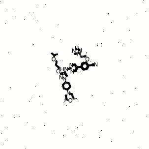 CC(C)OCCCOc1nn([C@H]2CC[C@H](N3C[C@@H](C)O[C@@H](C)C3)CC2)cc1Nc1ncc(-c2ccc(C#N)c(O[C@@H](C)Cn3cnnn3)c2)cn1